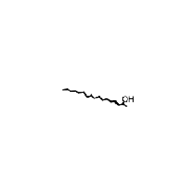 CCCCCCCCCCCCCC=CC(C)O